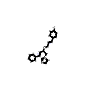 Clc1ccc(/C=C/COC(/C=C/c2ccccc2)Cn2ccnc2)cc1